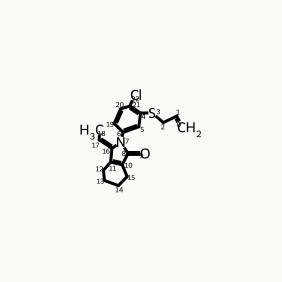 C=CCSc1cc(N2C(=O)C3=C(CCCC3)C2=CC)ccc1Cl